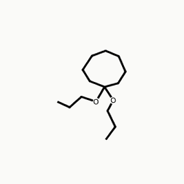 CCCOC1(OCCC)CCCCCCC1